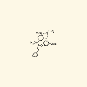 CO[C@]12CC[C@H](N(C)C(=O)/C=C/c3ccoc3)C[C@]1(c1cccc(OC(C)=O)c1)CCN(CC1CC1)C2